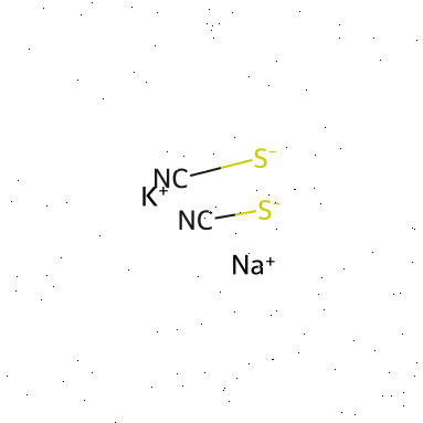 N#C[S-].N#C[S-].[K+].[Na+]